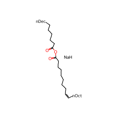 CCCCCCCC/C=C\CCCCCCCC(=O)OC(=O)CCCCCCCCCCCCCCC.[NaH]